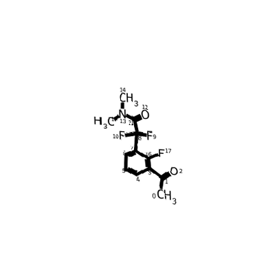 CC(=O)c1cccc(C(F)(F)C(=O)N(C)C)c1F